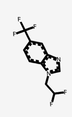 FC(F)Cn1cnc2cc(C(F)(F)F)ccc21